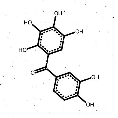 O=C(c1ccc(O)c(O)c1)c1cc(O)c(O)c(O)c1O